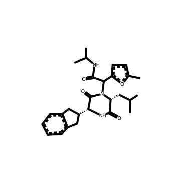 Cc1ccc(C(C(=O)NC(C)C)N2C(=O)[C@@H](C3Cc4ccccc4C3)NC(=O)[C@H]2CC(C)C)o1